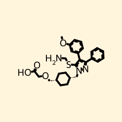 COc1cccc(-c2c(-c3ccccc3)nn(C[C@H]3CC[C@@H](COCC(=O)O)CC3)c2SCN)c1